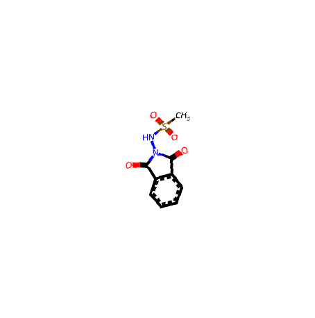 CS(=O)(=O)NN1C(=O)c2ccccc2C1=O